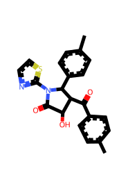 Cc1ccc(C(=O)C2C(O)C(=O)N(c3nccs3)C2c2ccc(C)cc2)cc1